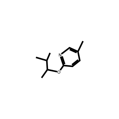 Cc1ccc(OC(C)C(C)C)nc1